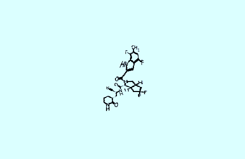 Cc1cc(F)c2cc(C(=O)N3C[C@@H]4CC(F)(F)C[C@@H]4[C@@H]3C(=O)N[C@H](C#N)C[C@H]3CCCNC3=O)[nH]c2c1F